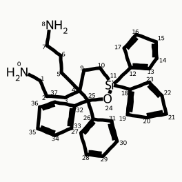 NCCCC1(CCCN)CC[Si](c2ccccc2)(c2ccccc2)OC1(c1ccccc1)c1ccccc1